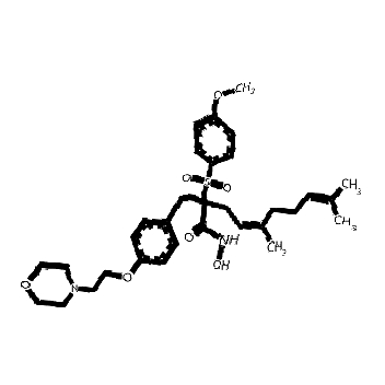 COc1ccc(S(=O)(=O)C(CC=C(C)CCC=C(C)C)(Cc2ccc(OCCN3CCOCC3)cc2)C(=O)NO)cc1